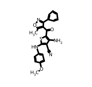 COc1ccc(Nc2sc(C(=O)c3c(-c4ccccc4)noc3C)c(N)c2C#N)cc1